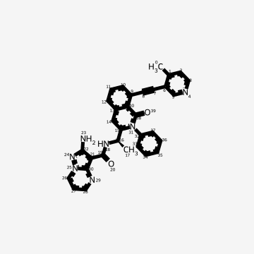 Cc1ccncc1C#Cc1cccc2cc([C@@H](C)NC(=O)c3c(N)nn4cccnc34)n(-c3ccccc3)c(=O)c12